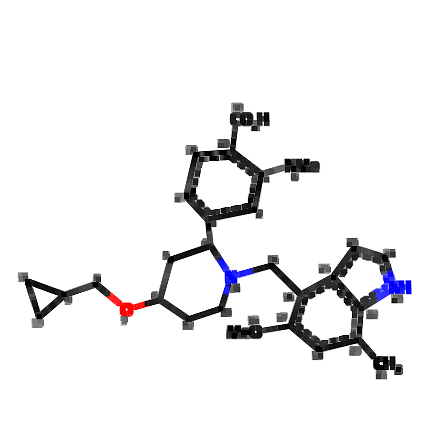 CNc1cc(C2CC(OCC3CC3)CCN2Cc2c(OC)cc(C)c3[nH]ccc23)ccc1C(=O)O